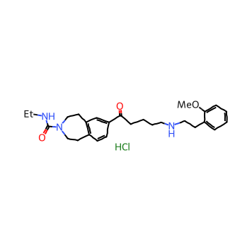 CCNC(=O)N1CCc2ccc(C(=O)CCCCNCCc3ccccc3OC)cc2CC1.Cl